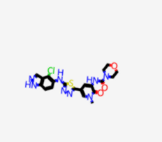 Cn1cc(-c2nnc(Nc3ccc4[nH]ncc4c3Cl)s2)cc(NC(=O)N2CCOCC2)c1=O